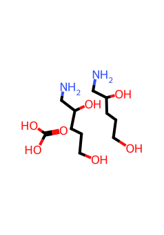 NCC(O)CCCO.NCC(O)CCCO.O=C(O)O